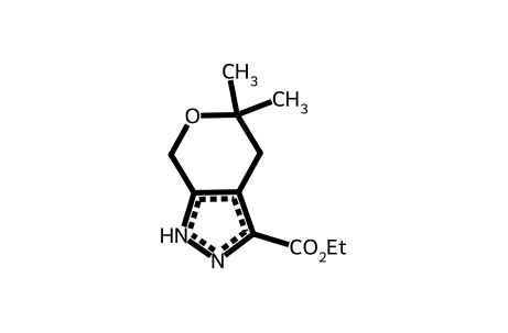 CCOC(=O)c1n[nH]c2c1CC(C)(C)OC2